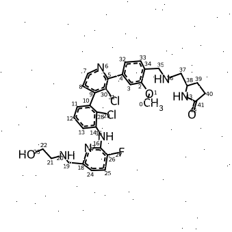 COc1cc(-c2nccc(-c3cccc(Nc4nc(CNCCO)ccc4F)c3Cl)c2Cl)ccc1CNCC1CCC(=O)N1